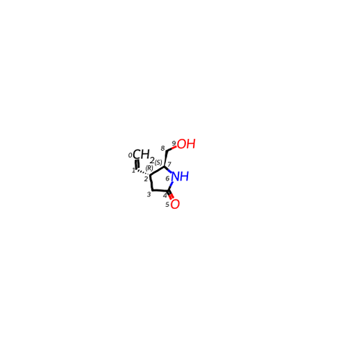 C=C[C@H]1CC(=O)N[C@@H]1CO